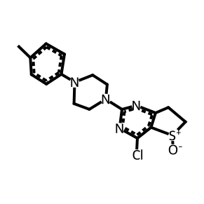 Cc1ccc(N2CCN(c3nc(Cl)c4c(n3)CC[S+]4[O-])CC2)cc1